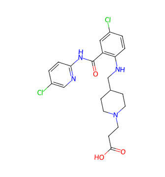 O=C(O)CCN1CCC(CNc2ccc(Cl)cc2C(=O)Nc2ccc(Cl)cn2)CC1